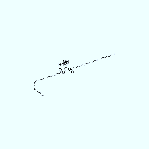 CCCCC/C=C\C/C=C\CCCCCCCCCCCC(=O)O[C@H](COC(=O)CCCCCCCCCCCCCCCCCCCCC)COP(=O)(O)O